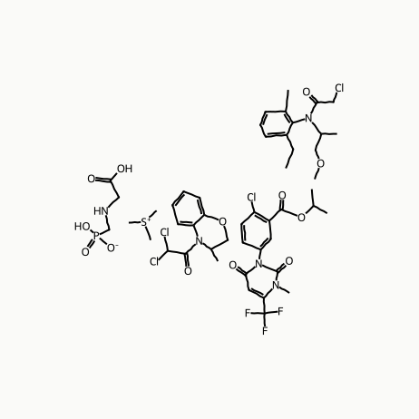 CC(C)OC(=O)c1cc(-n2c(=O)cc(C(F)(F)F)n(C)c2=O)ccc1Cl.CC1COc2ccccc2N1C(=O)C(Cl)Cl.CCc1cccc(C)c1N(C(=O)CCl)C(C)COC.C[S+](C)C.O=C(O)CNCP(=O)([O-])O